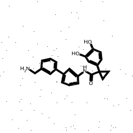 NCc1cccc(-c2cccc(NC(=O)C3(c4ccc(O)c(O)c4)CC3)c2)c1